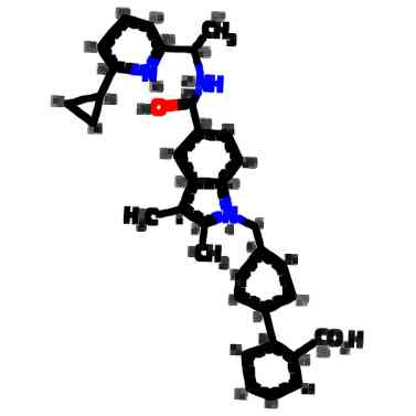 Cc1c(C)n(Cc2ccc(-c3ccccc3C(=O)O)cc2)c2ccc(C(=O)NC(C)c3cccc(C4CC4)n3)cc12